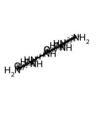 N=C(NCCCCCCNC(=O)CCCCCNC(=N)NCCCCCCN)NCCCCCC(N)=O